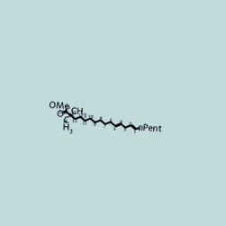 CCCCCC=CCC=CCCCCCCCCC(C)(C)C(=O)OC